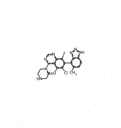 COc1c(Cl)c(-c2c(C)ccc3[nH]nnc23)c(F)c2ncnc(N3CCNCC3)c12